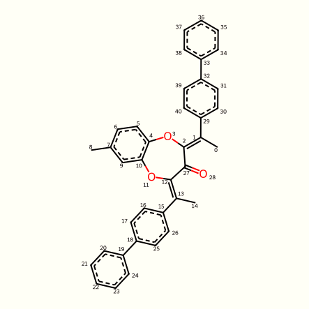 C/C(=C1/Oc2ccc(C)cc2O/C(=C(/C)c2ccc(-c3ccccc3)cc2)C1=O)c1ccc(-c2ccccc2)cc1